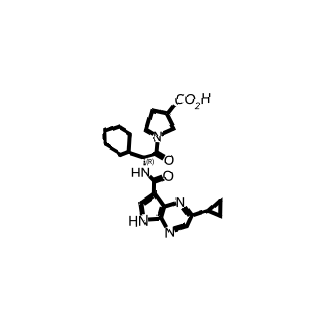 O=C(N[C@@H](C(=O)N1CCC(C(=O)O)C1)C1CCCCC1)c1c[nH]c2ncc(C3CC3)nc12